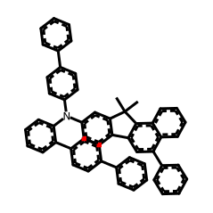 CC1(C)c2cc(N(c3ccc(-c4ccccc4)cc3)c3ccccc3-c3ccc(-c4ccccc4)cc3)ccc2-c2cc(-c3ccccc3)c3ccccc3c21